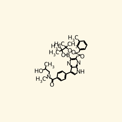 Cc1cccc(S(=O)(=O)c2nc3[nH]cc(-c4ccc(C(=O)N(C)CC(C)O)cc4)c3nc2B2OC(C)(C)C(C)(C)O2)c1